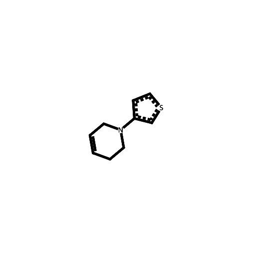 C1=CCN(c2ccsc2)CC1